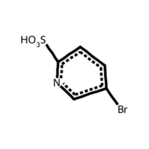 O=S(=O)(O)c1ccc(Br)cn1